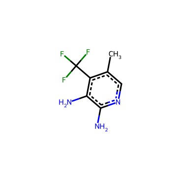 Cc1cnc(N)c(N)c1C(F)(F)F